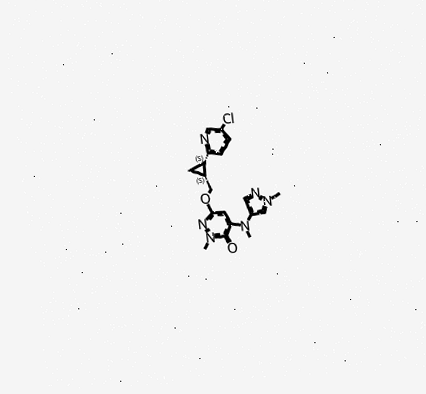 CN(c1cnn(C)c1)c1cc(OC[C@H]2C[C@@H]2c2ccc(Cl)cn2)nn(C)c1=O